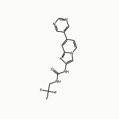 O=C(NCC(F)(F)F)Nc1cn2ccc(-c3cncnc3)cc2n1